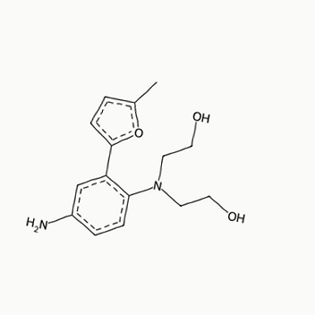 Cc1ccc(-c2cc(N)ccc2N(CCO)CCO)o1